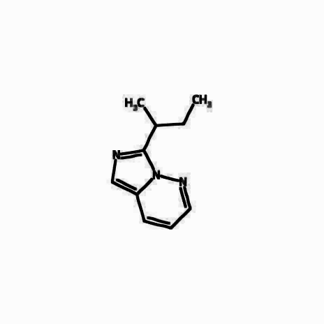 CCC(C)c1ncc2cccnn12